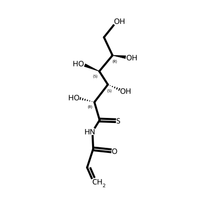 C=CC(=O)NC(=S)[C@H](O)[C@@H](O)[C@@H](O)[C@H](O)CO